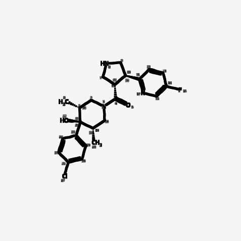 C[C@@H]1CN(C(=O)[C@@H]2CNC[C@H]2c2ccc(F)cn2)C[C@H](C)[C@]1(O)c1ccc(Cl)cc1